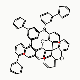 c1ccc(-c2cccc(N(c3cccc(-c4ccccc4)c3)c3cccc4c3Oc3c(N(c5cccc(-c6ccccc6)c5)c5cccc(-c6ccccc6)c5)cccc3C43c4ccccc4Oc4ccccc43)c2)cc1